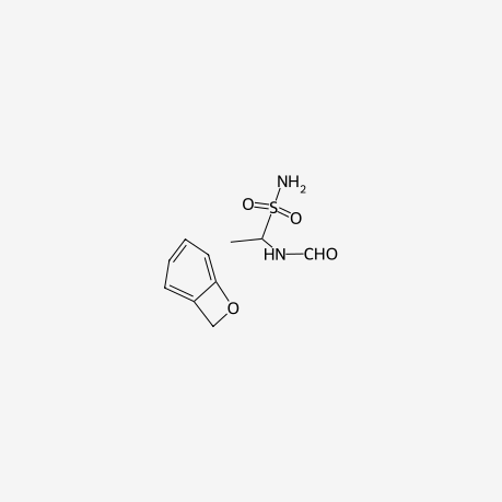 CC(NC=O)S(N)(=O)=O.c1ccc2c(c1)CO2